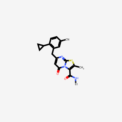 CCNC(=O)c1c(C)sc2nc(Cc3cc(C#N)ccc3C3CC3)cc(=O)n12